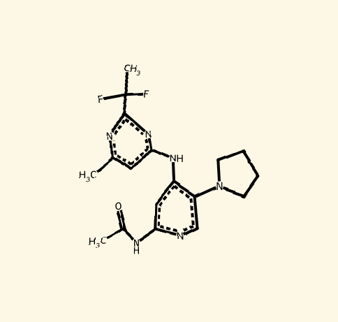 CC(=O)Nc1cc(Nc2cc(C)nc(C(C)(F)F)n2)c(N2CCCC2)cn1